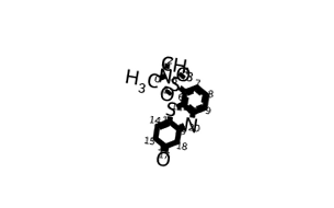 CN(C)S(=O)(=O)c1cccc2c1SC1=CCC(=O)CC1=N2